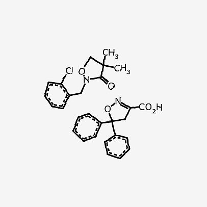 CC1(C)CON(Cc2ccccc2Cl)C1=O.O=C(O)C1=NOC(c2ccccc2)(c2ccccc2)C1